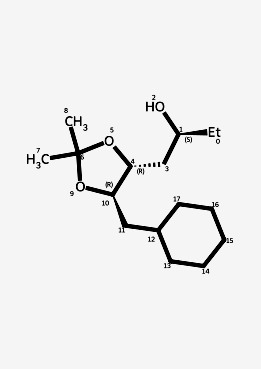 CC[C@H](O)C[C@H]1OC(C)(C)O[C@@H]1CC1CCCCC1